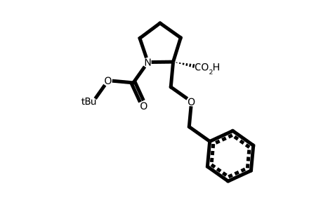 CC(C)(C)OC(=O)N1CCC[C@]1(COCc1ccccc1)C(=O)O